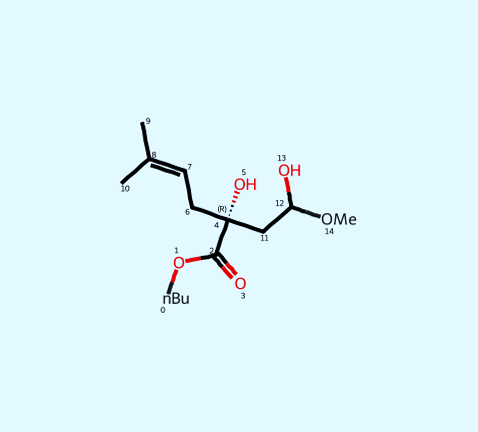 CCCCOC(=O)[C@@](O)(CC=C(C)C)CC(O)OC